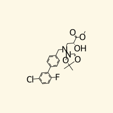 COC(=O)[C@H](O)CN(Cc1ccc(-c2cc(Cl)ccc2F)cc1)N(C=O)OC(C)(C)C